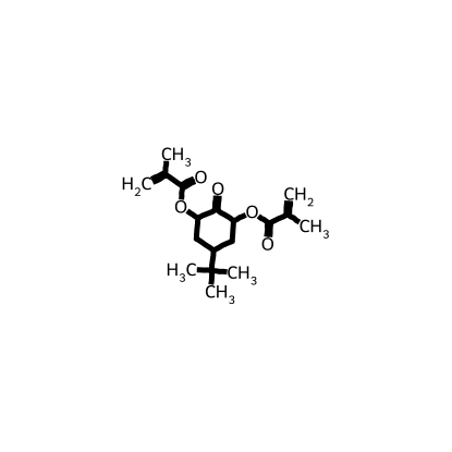 C=C(C)C(=O)OC1CC(C(C)(C)C)CC(OC(=O)C(=C)C)C1=O